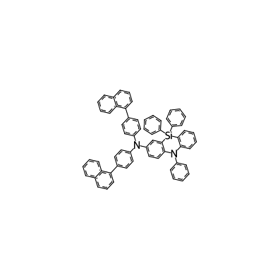 c1ccc(N2c3ccccc3[Si](c3ccccc3)(c3ccccc3)c3cc(N(c4ccc(-c5cccc6ccccc56)cc4)c4ccc(-c5cccc6ccccc56)cc4)ccc32)cc1